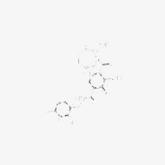 Cc1ccc(CNC(=O)c2cn3c(c(O)c2=O)C(=O)N2C[C@@H]3CCC[C@@H]2CF)c(F)c1